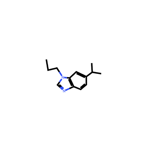 CCCn1cnc2ccc(C(C)C)cc21